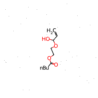 C=CC(O)OCCOC(=O)CCCC